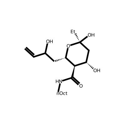 C=CC(O)C[C@@H]1O[C@](O)(CC)C[C@H](O)[C@H]1C(=O)NCCCCCCCC